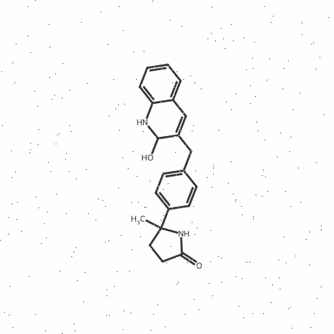 CC1(c2ccc(CC3=Cc4ccccc4NC3O)cc2)CCC(=O)N1